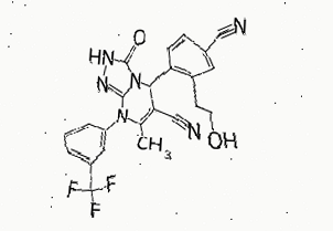 CC1=C(C#N)C(c2ccc(C#N)cc2CCO)n2c(n[nH]c2=O)N1c1cccc(C(F)(F)F)c1